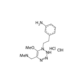 CNCC1=C(OC)N(CCc2cccc(N)c2)NN=N1.Cl.Cl